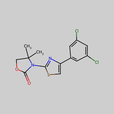 CC1(C)COC(=O)N1c1nc(-c2cc(Cl)cc(Cl)c2)cs1